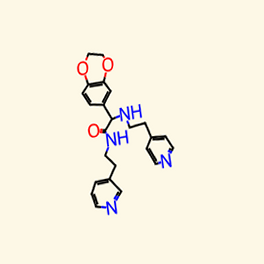 O=C(NCCc1cccnc1)C(NCCc1ccncc1)c1ccc2c(c1)OCCO2